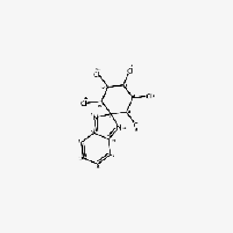 ClC1C(Cl)C(Cl)C2(N=c3ccccc3=N2)C(Cl)C1Cl